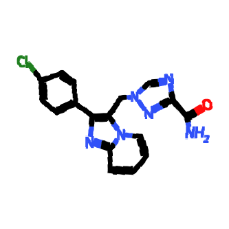 NC(=O)c1ncn(Cc2c(-c3ccc(Cl)cc3)nc3ccccn23)n1